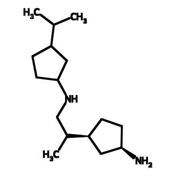 CC(C)C1CCC(NCC(C)[C@H]2CC[C@@H](N)C2)C1